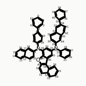 c1ccc(-c2ccc(N(c3ccc4ccccc4c3)c3cc(N(c4ccccc4)c4ccc5cc(-c6ccccc6)ccc5c4)cc4c3oc3ccc5ccccc5c34)cc2)cc1